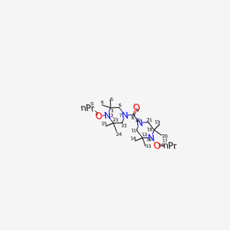 CCCON1C(C)(C)CN(C(=O)N2CC(C)(C)N(OCCC)C(C)(C)C2)CC1(C)C